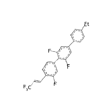 CCc1ccc(-c2cc(F)c(-c3ccc(/C=C/C(F)(F)F)c(F)c3)c(F)c2)cc1